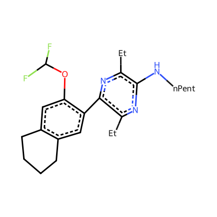 CCCCCNc1nc(CC)c(-c2cc3c(cc2OC(F)F)CCCC3)nc1CC